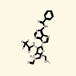 CC[C@]1(COC=O)O[C@@H](n2cnc3c(NC(=O)c4ccccc4)ncnc32)[C@@H](NC(=O)C(F)(F)F)C1C